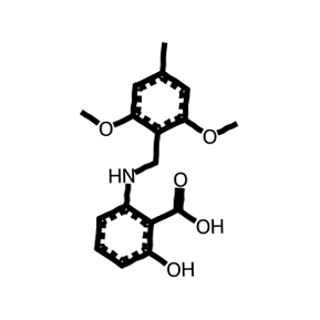 COc1cc(C)cc(OC)c1CNc1cccc(O)c1C(=O)O